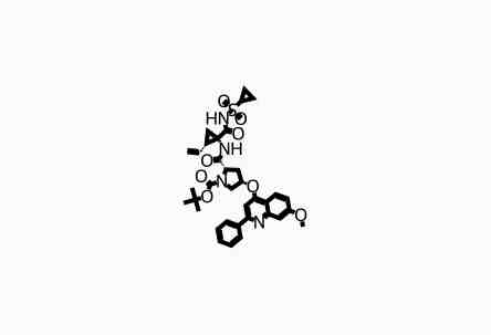 C=C[C@@H]1C[C@]1(NC(=O)[C@@H]1C[C@@H](Oc2cc(-c3ccccc3)nc3cc(OC)ccc23)CN1C(=O)OC(C)(C)C)C(=O)NS(=O)(=O)C1CC1